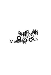 COc1ccc(C(=O)NCC2COC2)cc1Nc1ncc(-c2ccc(C#N)c(O[C@@H](C)Cn3cnnn3)c2)cn1